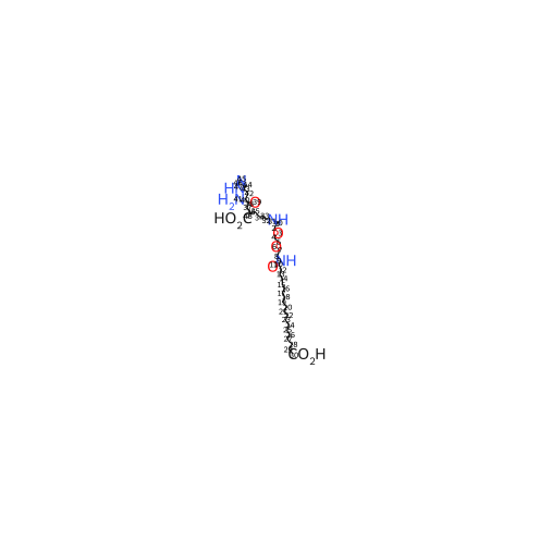 C=C(COCCOCCNC(=O)CCCCCCCCCCCCCCCCCCC(=O)O)NCCCC[C@H](CC(=O)[C@@H](N)Cc1cnc[nH]1)C(=O)O